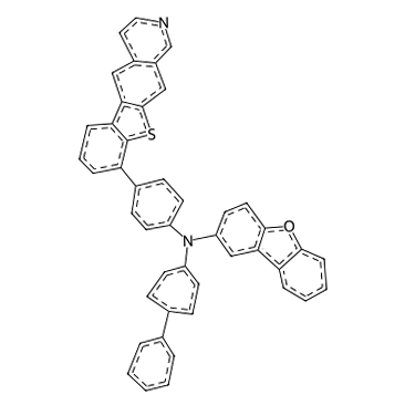 c1ccc(-c2ccc(N(c3ccc(-c4cccc5c4sc4cc6cnccc6cc45)cc3)c3ccc4oc5ccccc5c4c3)cc2)cc1